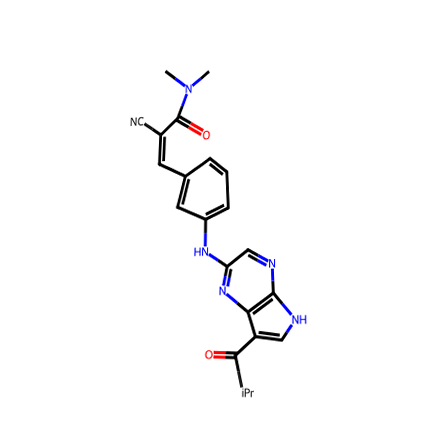 CC(C)C(=O)c1c[nH]c2ncc(Nc3cccc(/C=C(/C#N)C(=O)N(C)C)c3)nc12